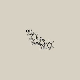 CC(C)(C)N(NC(=O)c1ccc(CO)cc1F)C(=O)c1ccccc1